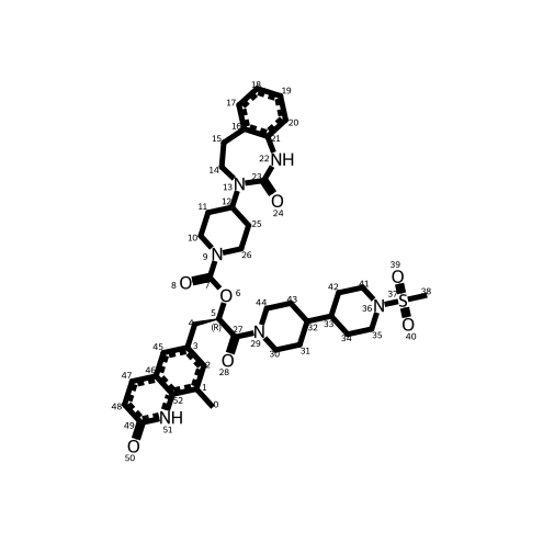 Cc1cc(C[C@@H](OC(=O)N2CCC(N3CCc4ccccc4NC3=O)CC2)C(=O)N2CCC(C3CCN(S(C)(=O)=O)CC3)CC2)cc2ccc(=O)[nH]c12